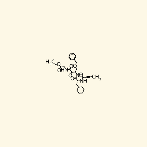 CC#CC(=O)N[C@H](CC1CCCCC1)C(=O)NC(COCc1ccccc1)C(=O)C(=O)NCC(=O)OCC